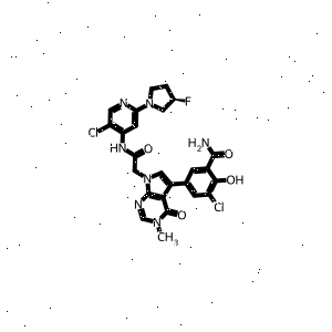 Cn1cnc2c(c(-c3cc(Cl)c(O)c(C(N)=O)c3)cn2CC(=O)Nc2cc(N3CC[C@@H](F)C3)ncc2Cl)c1=O